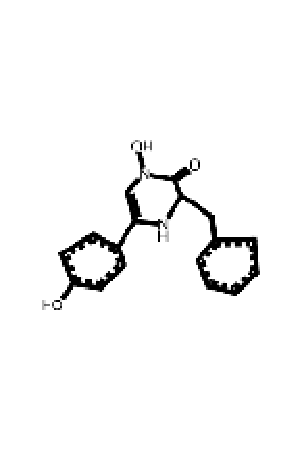 O=C1C(Cc2ccccc2)NC(c2ccc(O)cc2)=CN1O